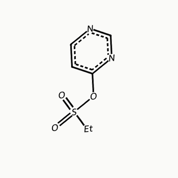 CCS(=O)(=O)Oc1ccncn1